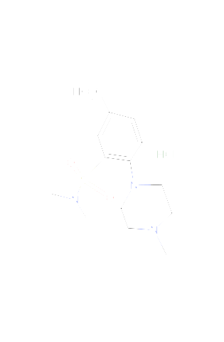 CN1CCN(c2ccc(C(=O)O)cc2S(=O)(=O)N(C)C)CC1.Cl